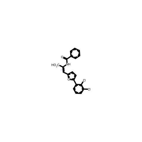 O=C(O)/C(=C/c1ccc(-c2cccc(Cl)c2Cl)o1)NC(=O)c1ccccc1